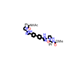 COC(=O)N[C@H](C(=O)N1CCC[C@H]1c1ncc(-c2ccc(-c3ccc(-c4cnc([C@@H]5CCCN5C(=O)[C@@H](NC(C)=O)C(C)C)[nH]4)cc3)cc2)[nH]1)C(C)C